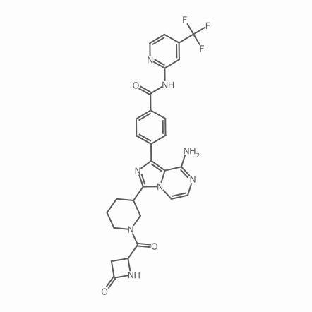 Nc1nccn2c(C3CCCN(C(=O)C4CC(=O)N4)C3)nc(-c3ccc(C(=O)Nc4cc(C(F)(F)F)ccn4)cc3)c12